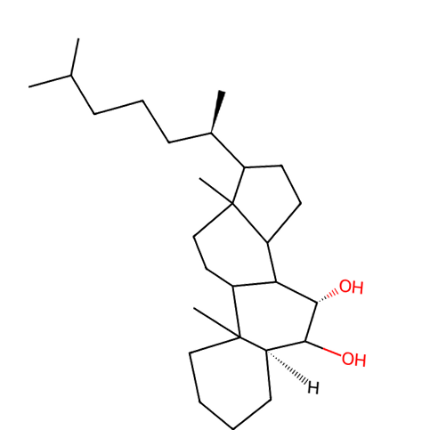 CC(C)CCC[C@@H](C)C1CCC2C3C(CCC21C)C1(C)CCCC[C@@H]1C(O)[C@H]3O